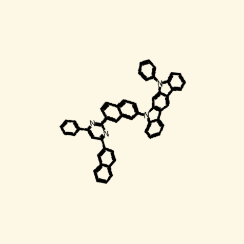 c1ccc(-c2cc(-c3ccc4ccccc4c3)nc(-c3ccc4ccc(-n5c6ccccc6c6cc7c8ccccc8n(-c8ccccc8)c7cc65)cc4c3)n2)cc1